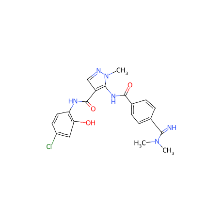 CN(C)C(=N)c1ccc(C(=O)Nc2c(C(=O)Nc3ccc(Cl)cc3O)cnn2C)cc1